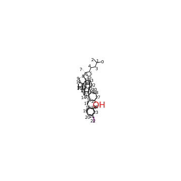 CC(C)CCC[C@@H](C)[C@H]1CC[C@H]2[C@@H]3CCC4[C@H](Cc5ccc(I)cc5)[C@H](O)CC[C@]4(C)[C@H]3CC[C@]12C